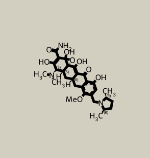 COc1c(CN2[C@H](C)CC[C@H]2C)cc(O)c2c1C[C@H]1C[C@H]3[C@H](N(C)C)C(O)=C(C(N)=O)C4(O)O[C@]34C(O)=C1C2=O